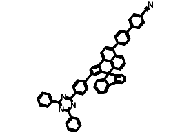 N#Cc1ccc(-c2ccc(-c3ccc4c5c(cccc35)C3(c5ccccc5-c5ccccc53)c3cc(-c5ccc(-c6nc(-c7ccccc7)nc(-c7ccccc7)n6)cc5)ccc3-4)cc2)cc1